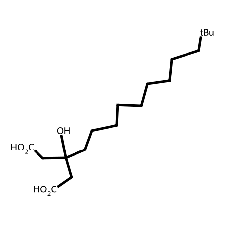 CC(C)(C)CCCCCCCCCC(O)(CC(=O)O)CC(=O)O